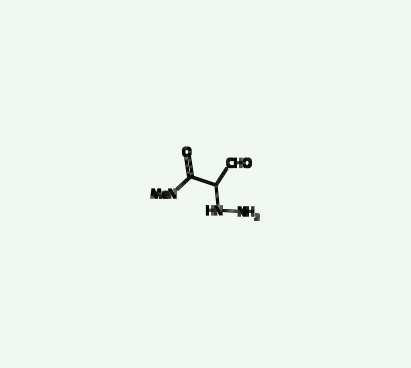 CNC(=O)C(C=O)NN